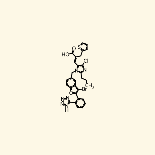 CCCc1nc(Cl)c(C=C(Cc2cccs2)C(=O)O)n1Cc1ccc2oc(-c3ccccc3-c3nnn[nH]3)c(Br)c2c1